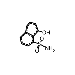 NS(=O)(=O)c1cccc2cccc(O)c12